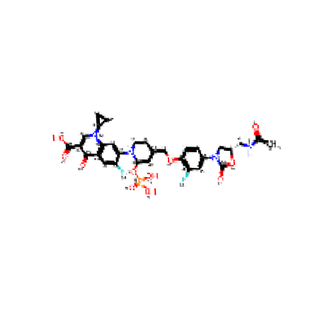 CC(=O)NC[C@H]1CN(c2ccc(OCC3CCN(c4cc5c(cc4F)c(=O)c(C(=O)O)cn5C4CC4)C(OP(=O)(O)O)C3)c(F)c2)C(=O)O1